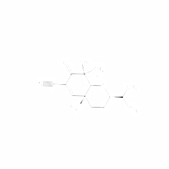 CC(C)[C@H]1CC[C@]2(C)C=C(C#N)C(=O)C(C)(C)[C@H]2O1